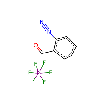 F[P-](F)(F)(F)(F)F.N#[N+]c1ccccc1C=O